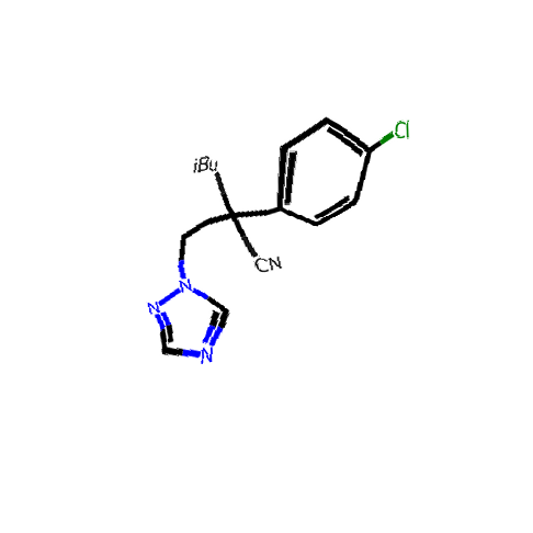 CCC(C)C(C#N)(Cn1cncn1)c1ccc(Cl)cc1